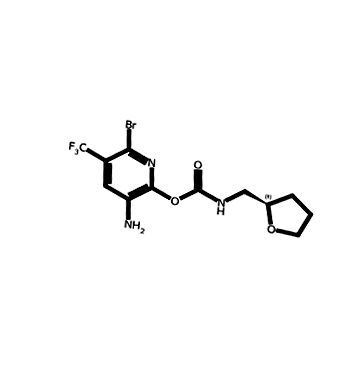 Nc1cc(C(F)(F)F)c(Br)nc1OC(=O)NC[C@H]1CCCO1